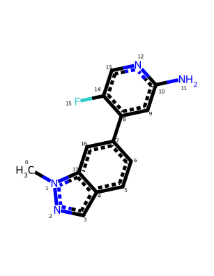 Cn1ncc2ccc(-c3cc(N)ncc3F)cc21